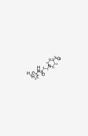 CC(C)NC(=O)CCN1CCC(C=O)CC1